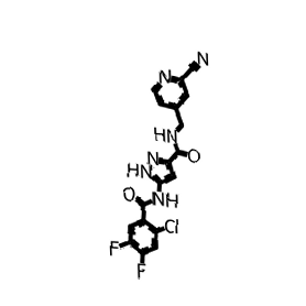 N#Cc1cc(CNC(=O)c2cc(NC(=O)c3cc(F)c(F)cc3Cl)[nH]n2)ccn1